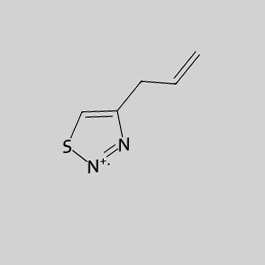 C=CCC1=CS[N+]=N1